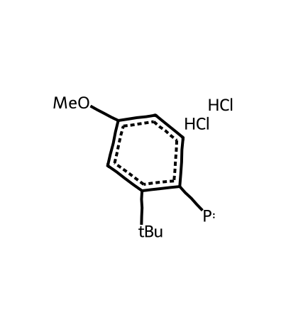 COc1ccc([P])c(C(C)(C)C)c1.Cl.Cl